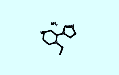 CCN1CCNCC1N1C=NCC1.N